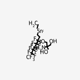 C=C[CH2][Sn][CH2]CC(F)(F)C(F)(F)C(F)(F)C(F)(F)C(F)(F)C(F)(F)F.NC(CO)(CO)CO